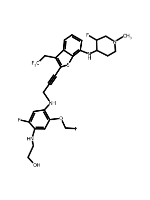 CN1CCC(Nc2cccc3c(CC(F)(F)F)c(C#CCNc4cc(F)c(NCCO)cc4OCF)sc23)C(F)C1